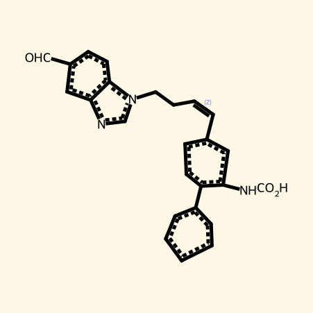 O=Cc1ccc2c(c1)ncn2CC/C=C\c1ccc(-c2ccccc2)c(NC(=O)O)c1